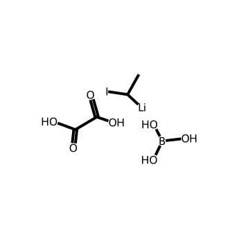 O=C(O)C(=O)O.OB(O)O.[Li][CH](C)I